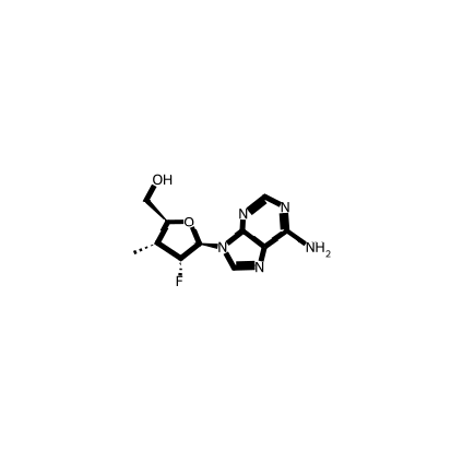 C[C@H]1[C@@H](F)[C@H](N2C=NC3C(N)=NC=NC32)O[C@@H]1CO